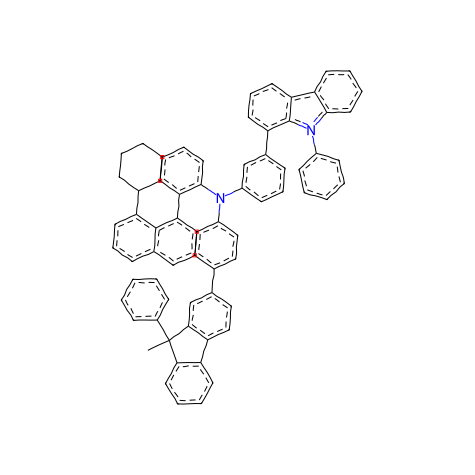 CC1(c2ccccc2)c2ccccc2-c2ccc(-c3ccc(N(c4cccc(-c5cccc6c7ccccc7n(-c7ccccc7)c56)c4)c4ccccc4-c4cccc5cccc(C6CCCCC6)c45)cc3)cc21